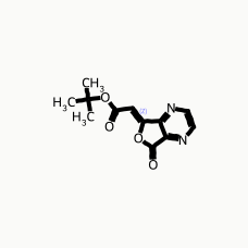 CC(C)(C)OC(=O)/C=C1\OC(=O)c2nccnc21